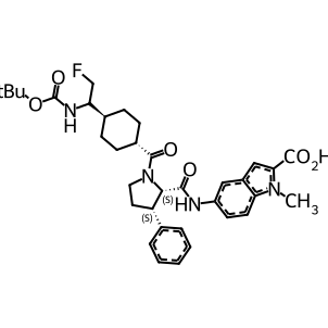 Cn1c(C(=O)O)cc2cc(NC(=O)[C@@H]3[C@H](c4ccccc4)CCN3C(=O)[C@H]3CC[C@H](C(CF)NC(=O)OC(C)(C)C)CC3)ccc21